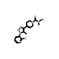 Cc1c(C2=CCN(C(=O)N(C)C(C)C)CC2)nnn1-c1cccnc1Cl